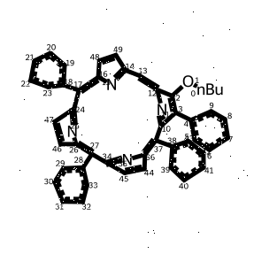 CCCCOC1=C(c2ccccc2)C2=NC1=CC1=NC(=C(c3ccccc3)C3=NC(=C(c4ccccc4)C4=NC(=C2c2ccccc2)C=C4)C=C3)C=C1